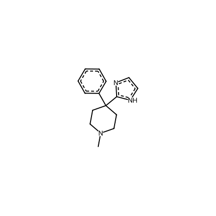 CN1CCC(c2ccccc2)(c2ncc[nH]2)CC1